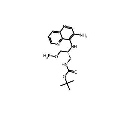 CC(C)(C)OC(=O)NC[C@H](COP)Nc1c(N)cnc2cccnc12